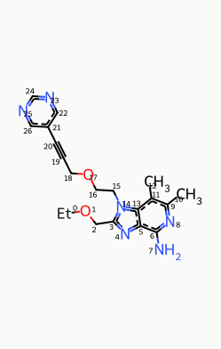 CCOCc1nc2c(N)nc(C)c(C)c2n1CCOCC#Cc1cncnc1